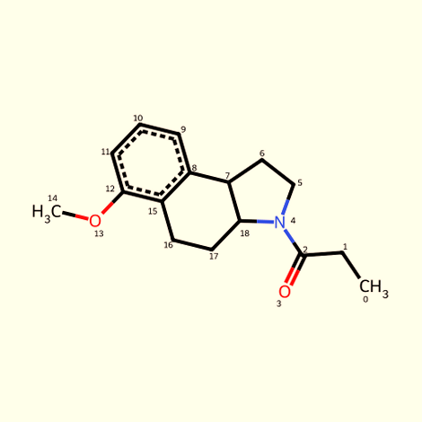 CCC(=O)N1CCC2c3cccc(OC)c3CCC21